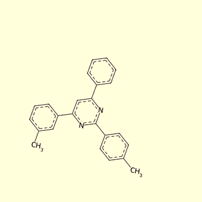 Cc1ccc(-c2nc(-c3ccccc3)cc(-c3cccc(C)c3)n2)cc1